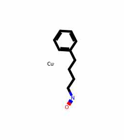 O=NCCCCc1ccccc1.[Cu]